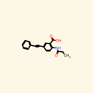 CCC(=O)Nc1ccc(C#Cc2ccccc2)cc1C(=O)O